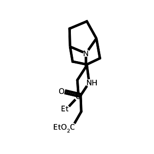 CCOCCN1C2CCC1CC(NC(=O)CC(=O)OCC)C2